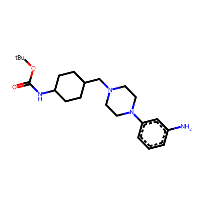 CC(C)(C)OC(=O)NC1CCC(CN2CCN(c3cccc(N)c3)CC2)CC1